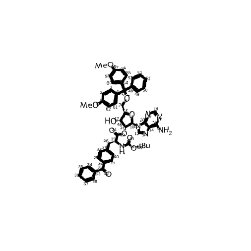 COc1ccc(C(OC[C@H]2O[C@@H](n3cnc4c(N)ncnc43)[C@H](OC(=O)[C@H](Cc3ccc(C(=O)c4ccccc4)cc3)NC(=O)OC(C)(C)C)[C@@H]2O)(c2ccccc2)c2ccc(OC)cc2)cc1